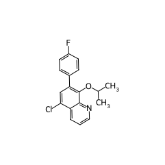 CC(C)Oc1c(-c2ccc(F)cc2)cc(Cl)c2cccnc12